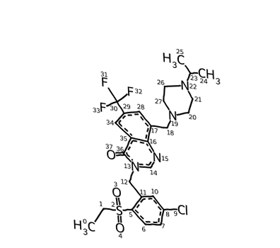 CCS(=O)(=O)c1ccc(Cl)cc1Cn1cnc2c(CN3CCN(C(C)C)CC3)cc(C(F)(F)F)cc2c1=O